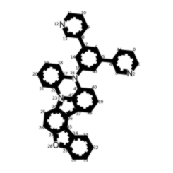 c1cncc(-c2cc(-c3cccnc3)cc(N3c4ccccc4-n4c5ccc6oc7ccccc7c6c5c5cccc3c54)c2)c1